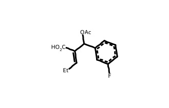 CCC=C(C(=O)O)C(OC(C)=O)c1cccc(F)c1